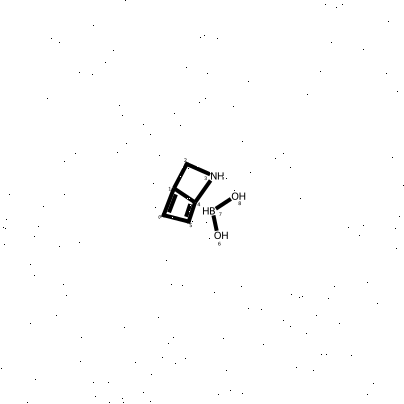 C1=C2CNC2=C1.OBO